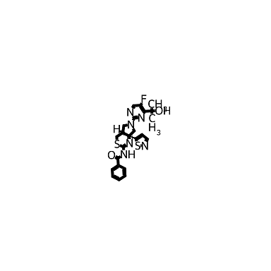 CC(C)(O)c1nc(N2C[C@H]3CSC(NC(=O)c4ccccc4)=N[C@@]3(c3ccns3)C2)ncc1F